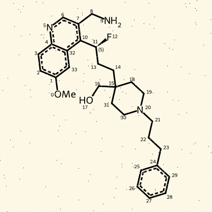 COc1ccc2ncc(CN)c([C@@H](F)CCC3(CO)CCN(CCCc4ccccc4)CC3)c2c1